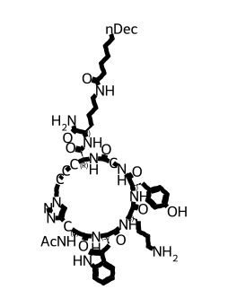 CCCCCCCCCCCCCCCC(=O)NCCCC[C@@H](NC(=O)[C@H]1CCCCn2cc(nn2)C[C@@H](NC(C)=O)C(=O)N[C@@H](Cc2c[nH]c3ccccc23)C(=O)N[C@@H](CCCCN)C(=O)N[C@@H](Cc2ccc(O)cc2)C(=O)NCC(=O)N1)C(N)=O